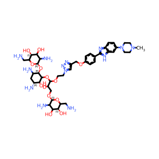 CN1CCN(c2ccc3nc(-c4ccc(OCc5cn(CCOC(OC6C(O)[C@H](N)CC(N)[C@H]6O[C@H]6OC(CN)[C@@H](O)C(O)C6N)C(O)CO[C@H]6OC(CN)[C@@H](O)C(O)C6N)nn5)cc4)[nH]c3c2)CC1